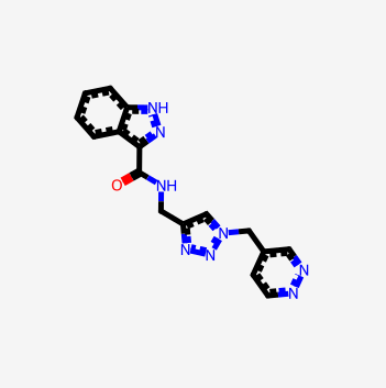 O=C(NCc1cn(Cc2ccnnc2)nn1)c1n[nH]c2ccccc12